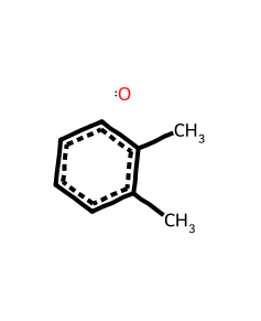 Cc1ccccc1C.[O]